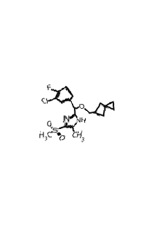 Cc1[nH]c(C(OCC2CC3(CC3)C2)c2ccc(F)c(Cl)c2)nc1S(C)(=O)=O